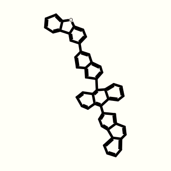 c1ccc2c(c1)ccc1cc(-c3c4ccccc4c(-c4ccc5cc(-c6ccc7oc8ccccc8c7c6)ccc5c4)c4ccccc34)ccc12